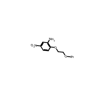 CC(C)OCCOc1ccc([N+](=O)[O-])cc1N